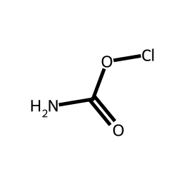 NC(=O)OCl